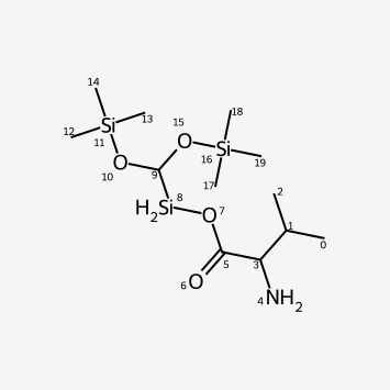 CC(C)C(N)C(=O)O[SiH2]C(O[Si](C)(C)C)O[Si](C)(C)C